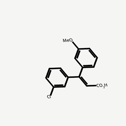 COc1cccc(/C(=C\C(=O)O)c2cccc(Cl)c2)c1